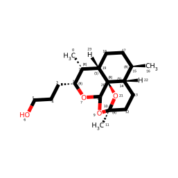 C[C@H]1[C@@H](CCCO)OC2O[C@]3(C)CC[C@H]4[C@H](C)CC[C@@H]1[C@@]24O3